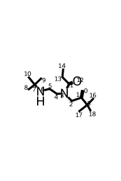 C=C(CN(CCNC(C)(C)C)C(=O)CC)C(C)(C)C